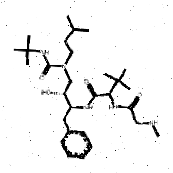 CNCC(=O)NC(C(=O)NC(Cc1ccccc1)[C@H](O)CN(CCC(C)C)C(=O)NC(C)(C)C)C(C)(C)C